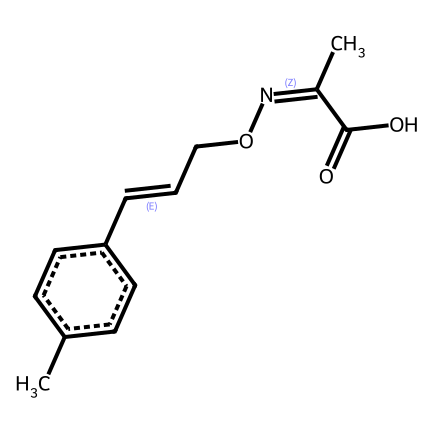 C/C(=N/OC/C=C/c1ccc(C)cc1)C(=O)O